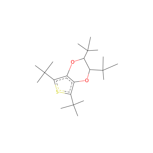 CC(C)(C)c1sc(C(C)(C)C)c2c1OC(C(C)(C)C)C(C(C)(C)C)O2